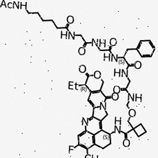 CC[C@H]1C(=O)OCc2c1cc1n(c2=O)Cc2c-1nc1cc(F)c(C)c3c1c2[C@@H](NC(=O)C1(COCNC(=O)CNC(=O)[C@H](Cc2ccccc2)NC(=O)CNC(=O)CNC(=O)CCCCCNC(C)=O)CCC1)CC3